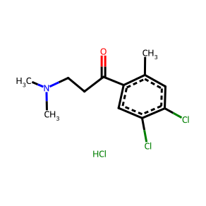 Cc1cc(Cl)c(Cl)cc1C(=O)CCN(C)C.Cl